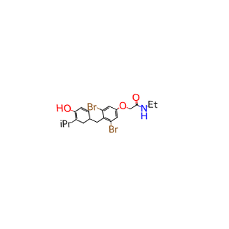 CCNC(=O)COc1cc(Br)c(CC2C=CC(O)=C(C(C)C)C2)c(Br)c1